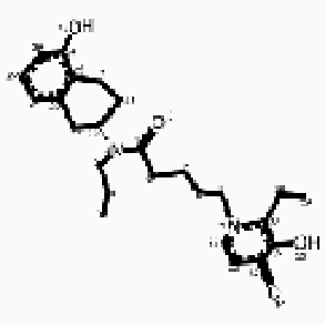 CCCN(C(=O)CCCCn1ccc(=O)c(O)c1CC)[C@H]1CCc2c(O)cccc2C1